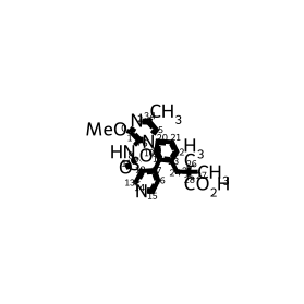 COc1nc(C)cnc1NS(=O)(=O)c1cnccc1-c1ccccc1CC(C)(C)C(=O)O